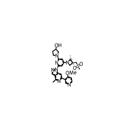 COc1ccncc1-c1cc2c(cnn2-c2cc(N3C[C@H](CS(C)(=O)=O)[C@H]3C)cc(N3CCC(O)C3)n2)c(C)n1